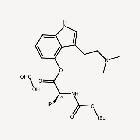 CC(C)[C@H](NC(=O)OC(C)(C)C)C(=O)Oc1cccc2[nH]cc(CCN(C)C)c12.O=CO